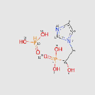 O=P(O)(O)C(O)Cn1ccnc1.O=[PH](O)O